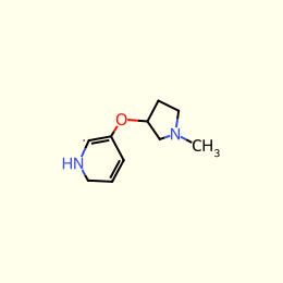 CN1CCC(OC2=[C]NCC=C2)C1